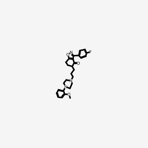 COc1ccccc1N1CCN(CCCC2CCc3onc(-c4ccc(F)cc4)c3C2=O)CC1